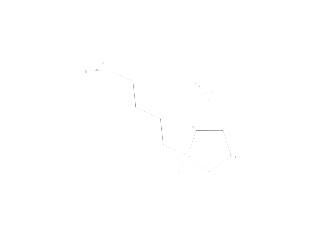 CCCCCCCCCCC[N+]1(CC)CCCC1.[C-]#N